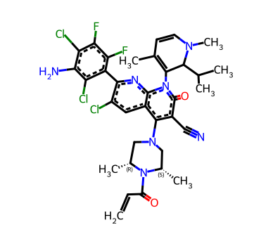 C=CC(=O)N1[C@H](C)CN(c2c(C#N)c(=O)n(C3=C(C)C=CN(C)C3C(C)C)c3nc(-c4c(F)c(F)c(Cl)c(N)c4Cl)c(Cl)cc23)C[C@@H]1C